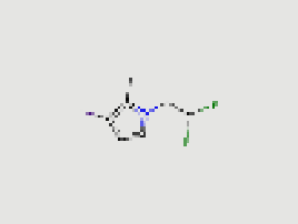 Cc1c(I)ccn1CC(F)F